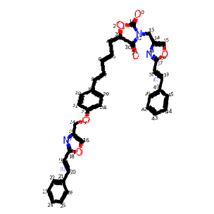 O=C1OC(CCCCCc2ccc(OCc3coc(/C=C/c4ccccc4)n3)cc2)C(=O)N1Cc1coc(/C=C/c2ccccc2)n1